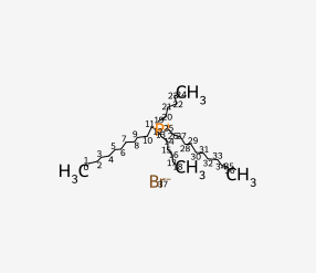 CCCCCCCCCCCC[P+](CCCCCC)(CCCCCC)CCCCCCCCCCCC.[Br-]